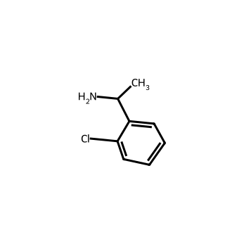 CC(N)c1ccccc1Cl